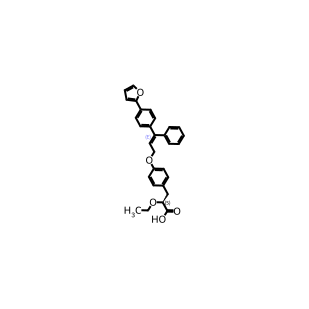 CCO[C@@H](Cc1ccc(OC/C=C(\c2ccccc2)c2ccc(-c3ccco3)cc2)cc1)C(=O)O